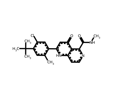 CNC(=O)c1nccc2[nH]c(-c3cc(Cl)c(C(C)(C)C)cc3C)cc(=O)c12